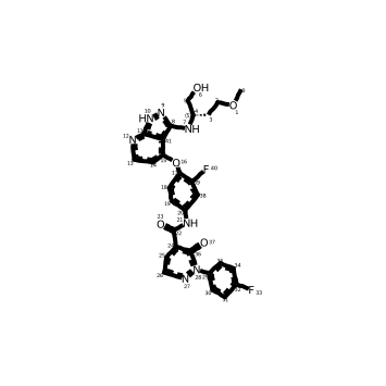 COCC[C@@H](CO)Nc1n[nH]c2nccc(Oc3ccc(NC(=O)c4ccnn(-c5ccc(F)cc5)c4=O)cc3F)c12